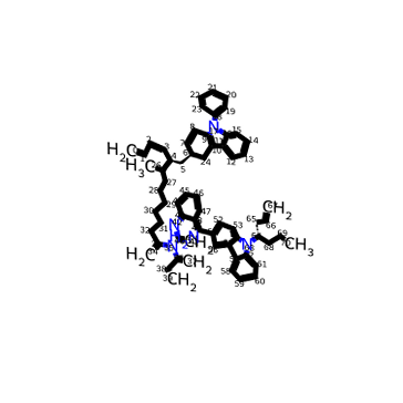 C=C/C=C\[C@@H](C[C@H]1C=Cc2c(c3ccccc3n2-c2ccccc2)C1)C(C)CCCCCCC(=C)N(C(=C)C=C)C(=C)/N=C1/C=CC=C/C1=C(/N)c1ccc2c(c1)c1ccccc1n2[C@H](CC=C)CCC